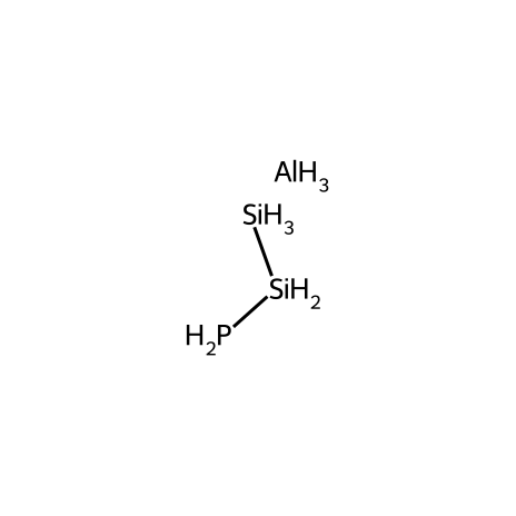 [AlH3].[SiH3][SiH2]P